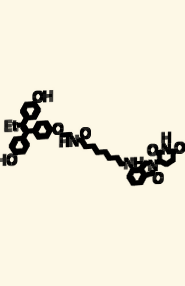 CCC(=C(c1ccc(O)cc1)c1ccc(OCCNC(=O)CCCCCCCNc2cccc3c2CN(C2CCC(=O)NC2=O)C3=O)cc1)c1ccc(O)cc1